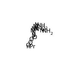 CCCOCCOCCOCCC(=O)N1CCN(c2cc(-n3nc(-c4ccc5oc(N)nc5c4)c4c(N)ncnc43)ncn2)CC1